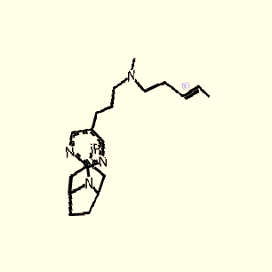 C/C=C/CCN(C)CCCc1cnc(N2C3CCC2CN(C(C)C)C3)nc1